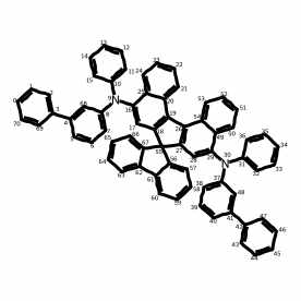 c1ccc(-c2cccc(N(c3ccccc3)c3cc4c(c5ccccc35)-c3c(cc(N(c5ccccc5)c5cccc(-c6ccccc6)c5)c5ccccc35)C43c4ccccc4-c4ccccc43)c2)cc1